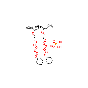 CC=C(CCCCCCCC)OCCOOOOOOC1CCCCC1.CC=C(CCCCCCCC)OCCOOOOOOC1CCCCC1.O=P(O)(O)O